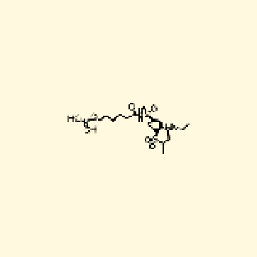 CCN[C@H]1CC(C)S(=O)(=O)c2sc([SH](C)(=O)NC(=O)CCCCCON(O)O)cc21